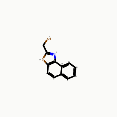 SCc1nc2c(ccc3ccccc32)s1